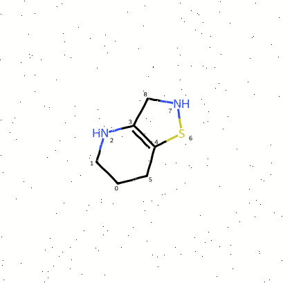 C1CNC2=C(C1)SNC2